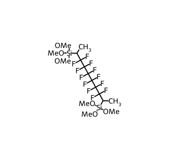 CO[Si](OC)(OC)C(C)C(F)(F)C(F)(F)C(F)(F)C(F)(F)C(F)(F)C(F)(F)C(C)[Si](OC)(OC)OC